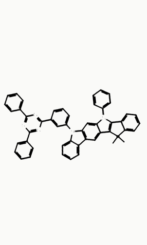 CC1(C)c2ccccc2-c2c1c1cc3c4ccccc4n(-c4cccc(-c5nc(-c6ccccc6)nc(-c6ccccc6)n5)c4)c3cc1n2-c1ccccc1